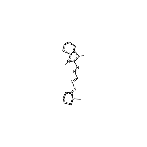 Cn1ccccc1=NN=CN=Nc1n(C)c2ccccc2[n+]1C